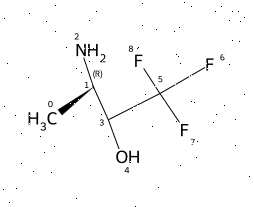 C[C@@H](N)C(O)C(F)(F)F